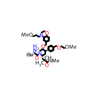 CC[C@H](C)[C@H](N)C(=O)N1C[C@H](OCc2ccc3c(c2)N(CCCOC)CCO3)[C@@H](c2ccc(COCCOC)cc2)C[C@@H]1CC(C)(C)C(=O)NC